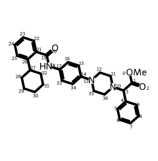 COC(=O)C(c1ccccc1)N1CCN(c2ccc(NC(=O)c3ccccc3C3CCCCC3)cc2)CC1